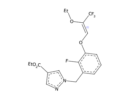 CCOC(=O)c1cnn(Cc2cccc(O/C=C(\OCC)C(F)(F)F)c2F)c1